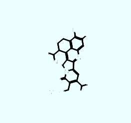 CCCCC(CCC)C1CCc2c(CC)c(F)cc3nc4c(c1c23)Cn1c-4cc(C(C=O)CC)c(COC)c1=O